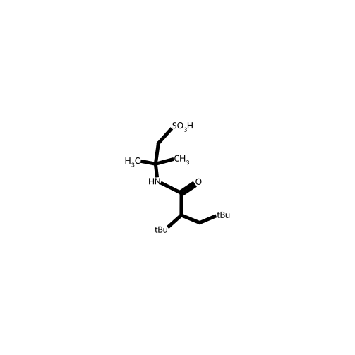 CC(C)(C)CC(C(=O)NC(C)(C)CS(=O)(=O)O)C(C)(C)C